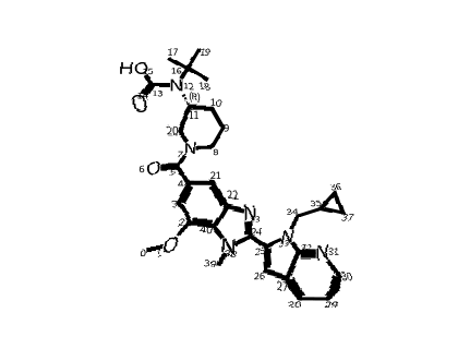 COc1cc(C(=O)N2CCC[C@@H](N(C(=O)O)C(C)(C)C)C2)cc2nc(-c3cc4cccnc4n3CC3CC3)n(C)c12